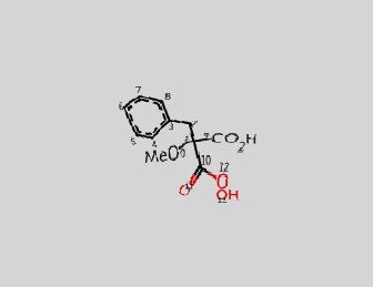 COC(Cc1ccccc1)(C(=O)O)C(=O)OO